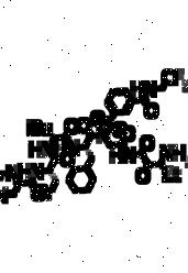 CC[C@H](N)C(=O)C(=O)NC(=O)CN(C(=O)[C@H](CC1CCCCC1)NC(=O)[C@@H](NC(=O)[C@H](CC(C)C)NC(=O)c1cnccn1)[C@@H](C)CC)S(=O)(=O)c1cccc(C(=O)NCC(F)(F)F)c1